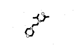 CC(=O)CN(CCN1CCOCC1)C(C)C